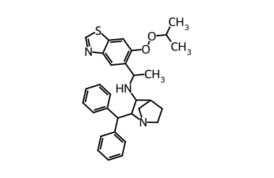 CC(C)OOc1cc2scnc2cc1C(C)NC1C2CCN(C2)C1C(c1ccccc1)c1ccccc1